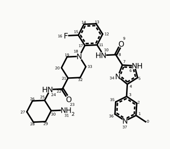 Cc1cc(-c2c[nH]c(C(=O)Nc3cccc(F)c3N3CCC(C(=O)NC4CCCCC4N)CC3)n2)ccn1